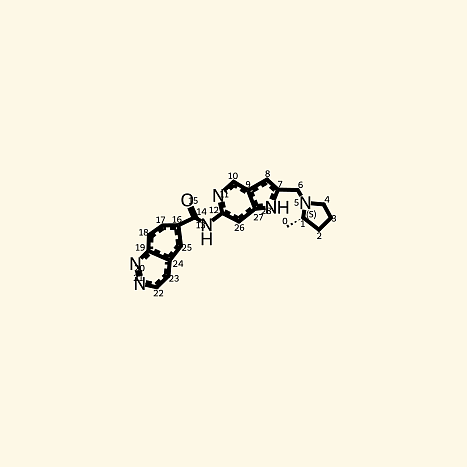 C[C@H]1CCCN1Cc1cc2cnc(NC(=O)c3ccc4nnccc4c3)cc2[nH]1